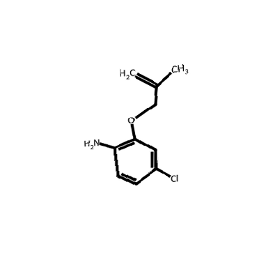 C=C(C)COc1cc(Cl)ccc1N